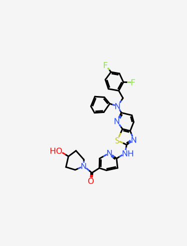 O=C(c1ccc(Nc2nc3ccc(N(Cc4ccc(F)cc4F)c4ccccc4)nc3s2)nc1)N1CCC(O)CC1